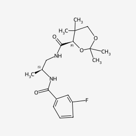 C[C@@H](CNC(=O)[C@@H]1OC(C)(C)OCC1(C)C)NC(=O)c1cccc(F)c1